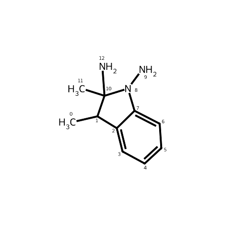 CC1c2ccccc2N(N)C1(C)N